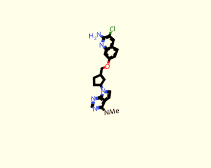 CNc1ncnc2c1ccn2C1CCC(COc2ccc3cc(Cl)c(N)nc3c2)C1